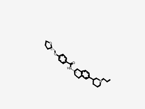 CCCN1CCCC(c2ccc3c(c2)CC[C@H](NC(=O)c2ccc(OC[C@@H]4CCCO4)cc2)C3)C1